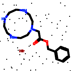 Br.O=C(CN1CCNCCNCCNCC1)OCc1ccccc1